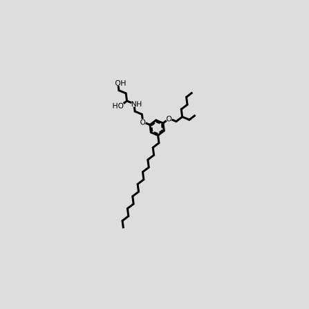 CCCCCCCCCCCCCCCc1cc(OCCNC(O)CCO)cc(OCC(CC)CCCC)c1